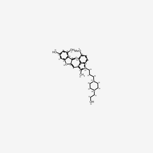 COc1ccc2c(c1)c(C=C1Oc3cc(O)cc(O)c3C1=O)c(C)n2CCCN1CCN(CCO)CC1